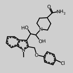 Cn1c(COc2ccc(Cl)cc2)c(C(O)C(O)N2CCC(C(N)=O)CC2)c2ccccc21